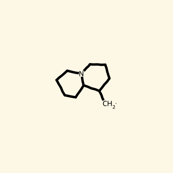 [CH2]C1CCCN2CCCCC12